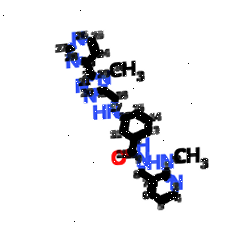 CNc1ncccc1CNC(=O)c1cccc(NCc2nnc(-c3ccncn3)n2C)c1